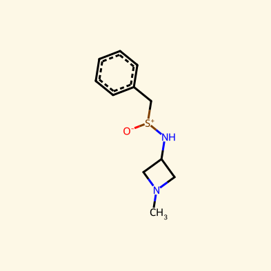 CN1CC(N[S+]([O-])Cc2ccccc2)C1